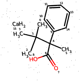 CC(C)(C)C(C)(C(=O)O)c1ccccc1.[CaH2]